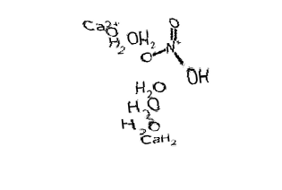 O.O.O.O.O.O=[N+]([O-])O.[Ca+2].[CaH2]